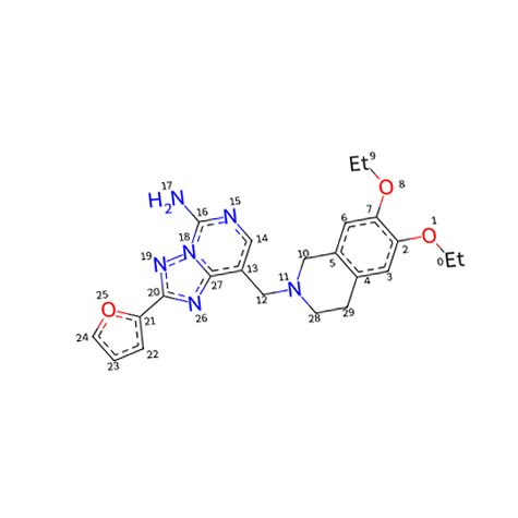 CCOc1cc2c(cc1OCC)CN(Cc1cnc(N)n3nc(-c4ccco4)nc13)CC2